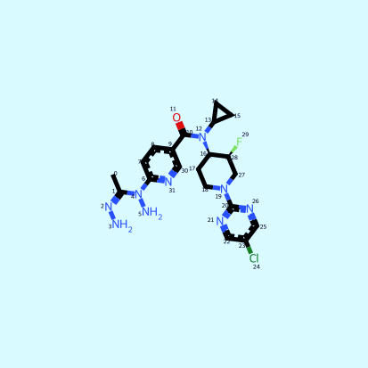 C/C(=N/N)N(N)c1ccc(C(=O)N(C2CC2)[C@@H]2CCN(c3ncc(Cl)cn3)C[C@@H]2F)cn1